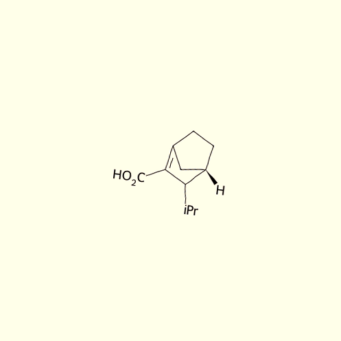 CC(C)C1C(C(=O)O)=C2CC[C@H]1C2